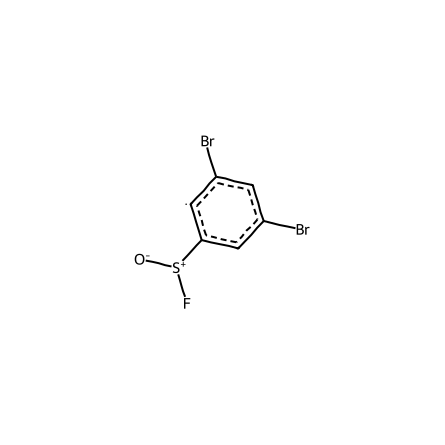 [O-][S+](F)c1[c]c(Br)cc(Br)c1